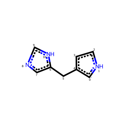 [c]1[nH]ccc1Cc1cnc[nH]1